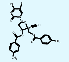 C#C[C@]1(COC(=O)c2ccc(C)cc2)O[C@@H](n2cc(F)c(O)nc2=O)C[C@@H]1OC(=O)c1ccc(C)cc1